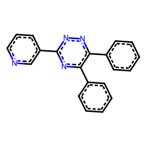 c1ccc(-c2nnc(-c3cccnc3)nc2-c2ccccc2)cc1